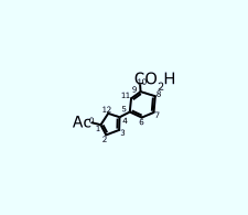 CC(=O)C1=CC=C(c2cccc(C(=O)O)c2)C1